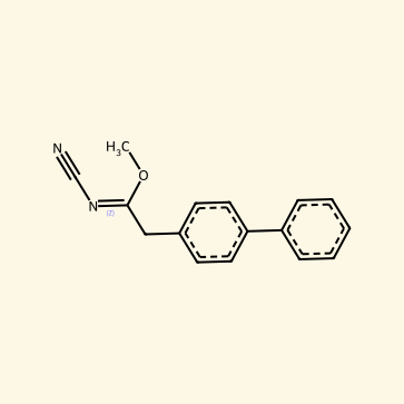 CO/C(Cc1ccc(-c2ccccc2)cc1)=N\C#N